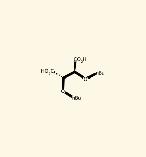 CCCCO[C@H](C(=O)O)[C@H](OCCCC)C(=O)O